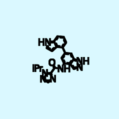 CC(C)n1ncnc1C(=O)Nc1cc(-c2cccc3[nH]ccc23)cc2[nH]ncc12